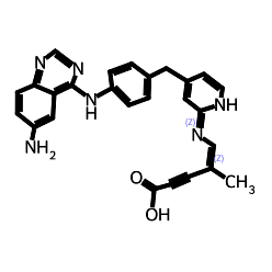 C/C(C#CC(=O)O)=C/N=c1/cc(Cc2ccc(Nc3ncnc4ccc(N)cc34)cc2)cc[nH]1